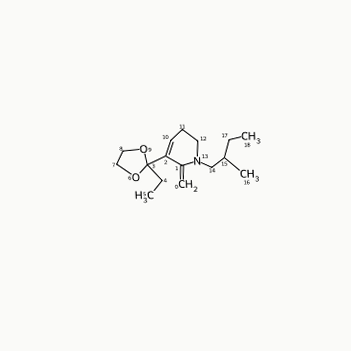 C=C1C(C2(CC)OCCO2)=CCCN1CC(C)CC